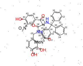 CNC(=O)CC[C@](NC(c1ccccc1)(c1ccccc1)c1ccccc1)(C(=O)NCc1ccc(O)c(O)c1)C(=O)c1ccc(O)c([N+](=O)[O-])c1